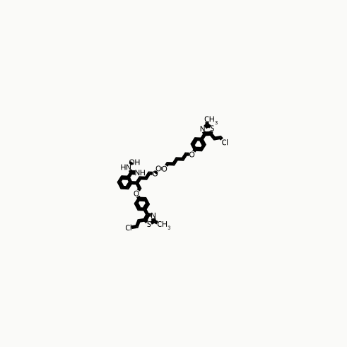 Cc1nc(-c2ccc(OCCCCCOOOCCCC(COc3ccc(-c4nc(C)sc4CCCl)cc3)c3ccccc3C(=N)NO)cc2)c(CCCl)s1